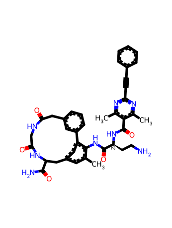 Cc1cc2cc(c1NC(=O)[C@H](CCN)NC(=O)c1c(C)nc(C#Cc3ccccc3)nc1C)-c1cccc(c1)CC(=O)NCC(=O)NC(C(N)=O)C2